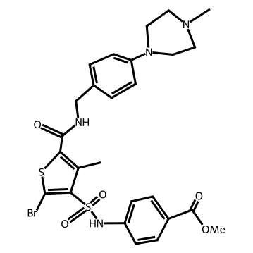 COC(=O)c1ccc(NS(=O)(=O)c2c(Br)sc(C(=O)NCc3ccc(N4CCN(C)CC4)cc3)c2C)cc1